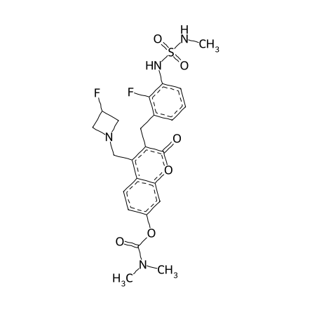 CNS(=O)(=O)Nc1cccc(Cc2c(CN3CC(F)C3)c3ccc(OC(=O)N(C)C)cc3oc2=O)c1F